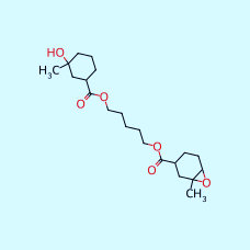 CC1(O)CCCC(C(=O)OCCCCCOC(=O)C2CCC3OC3(C)C2)C1